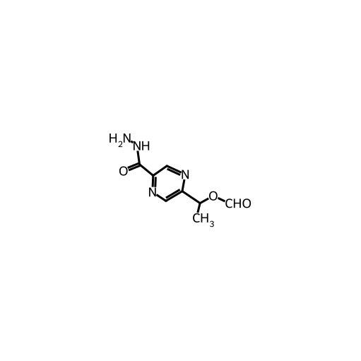 CC(OC=O)c1cnc(C(=O)NN)cn1